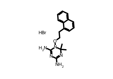 Br.CC1(C)N=C(N)N=C(N)N1OCCc1cccc2ccccc12